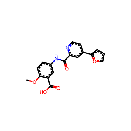 COc1ccc(NC(=O)c2cc(-c3ccco3)ccn2)cc1C(=O)O